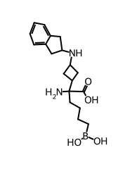 NC(CCCCB(O)O)(C(=O)O)C1CC(NC2Cc3ccccc3C2)C1